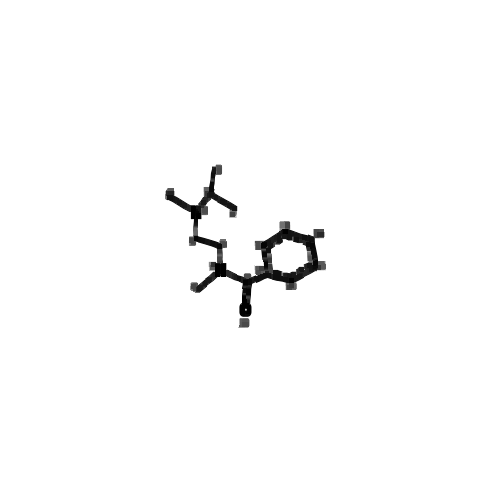 CC(C)N(C)CCN(C)C(=O)c1ccccc1